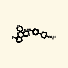 O=C(O)N1CCN(c2ccc(Nc3ncc4c(n3)C3(CCOCC3)Oc3c(F)cccc3-4)cc2)CC1